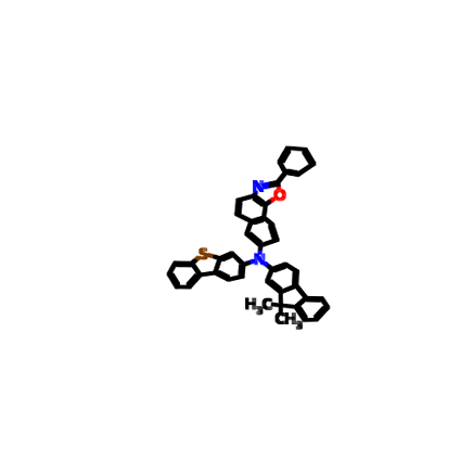 CC1(C)c2ccccc2-c2ccc(N(c3ccc4c(ccc5nc(-c6ccccc6)oc54)c3)c3ccc4c(c3)sc3ccccc34)cc21